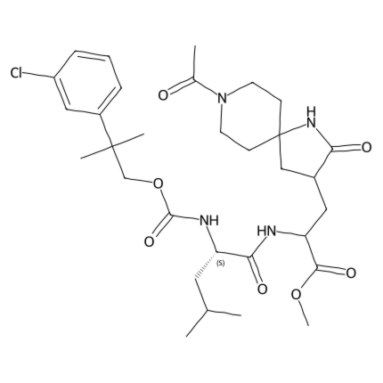 COC(=O)C(CC1CC2(CCN(C(C)=O)CC2)NC1=O)NC(=O)[C@H](CC(C)C)NC(=O)OCC(C)(C)c1cccc(Cl)c1